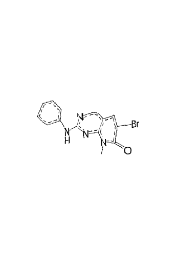 Cn1c(=O)c(Br)cc2cnc(Nc3ccccc3)nc21